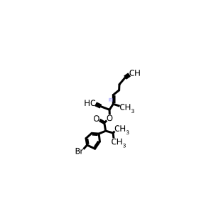 C#CCC/C=C(\C)C(C#C)OC(=O)C(c1ccc(Br)cc1)C(C)C